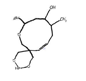 CCC(C)C1CC(O)C(C)C/C=C\C2(COPOC2)CO1